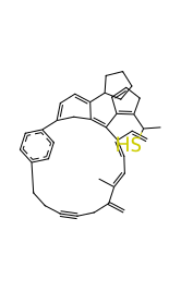 C=CC1=C/C=C(\C)C(=C)CC#CCCc2ccc(cc2)C2=CC=C(C3CCCC3)\C(=C\1C1=C(C(C)S)CC=C1)C2